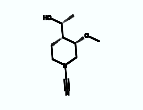 CO[C@@H]1CN(C#N)CC[C@@H]1[C@@H](C)O